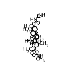 CNC(=O)O[C@H](C(C)C)[C@H]1C[C@@H](C)[C@H]2[C@H](O1)[C@H](O)[C@@]1(C)[C@@H]3CC[C@H]4C(C)(C)[C@@H](OC(=O)NC5CNC5)CC[C@@]45C[C@@]35CC[C@]21C